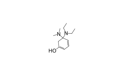 CCN(CC)C1(N(C)C)C=CC=C(O)C1